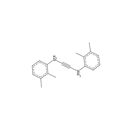 Cc1cccc([SiH2]C#C[SiH2]c2cccc(C)c2C)c1C